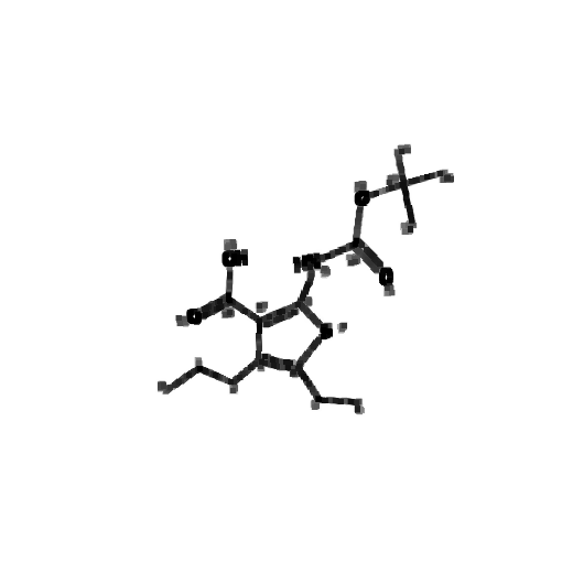 CCCc1c(CC)sc(NC(=O)OC(C)(C)C)c1C(=O)O